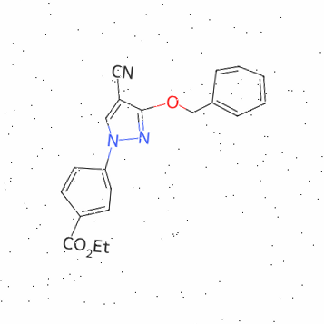 CCOC(=O)c1ccc(-n2cc(C#N)c(OCc3ccccc3)n2)cc1